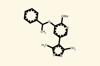 COc1ncc(-c2c(C)noc2C)cc1OC(C)c1ccccc1